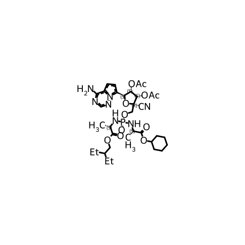 CCC(CC)COC(=O)[C@H](C)NP(=O)(N[C@@H](C)C(=O)OC1CCCCC1)OC[C@@]1(C#N)O[C@@H](c2ccc3c(N)ncnn23)[C@H](OC(C)=O)[C@@H]1OC(C)=O